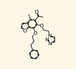 CC(=O)c1c(OCCn2ccnn2)c(OCCCc2ccccc2)c2occc2c1C